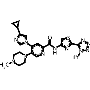 CC(C)n1nnnc1-c1nc(NC(=O)c2cc(-n3cnc(C4CC4)c3)c(N3CCN(C)CC3)cn2)cs1